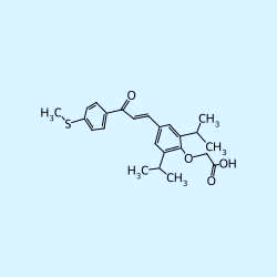 CSc1ccc(C(=O)C=Cc2cc(C(C)C)c(OCC(=O)O)c(C(C)C)c2)cc1